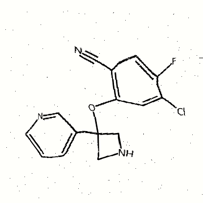 N#Cc1cc(F)c(Cl)cc1OC1(c2cccnc2)CNC1